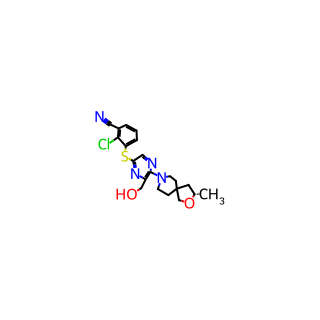 C[C@H]1CC2(CCN(c3ncc(Sc4cccc(C#N)c4Cl)nc3CO)CC2)CO1